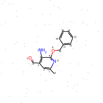 Cc1cc(C=O)c(N)c(OCc2ccccc2)n1